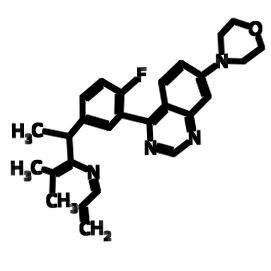 C=C/C=N\C(=C(C)C)C(C)c1ccc(F)c(-c2ncnc3cc(N4CCOCC4)ccc23)c1